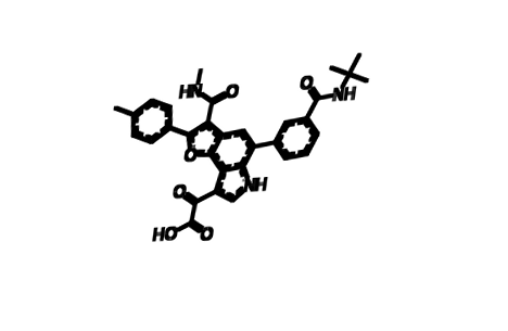 CNC(=O)c1c(-c2ccc(C)cc2)oc2c1cc(-c1cccc(C(=O)NC(C)(C)C)c1)c1[nH]cc(C(=O)C(=O)O)c12